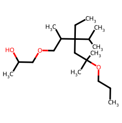 CCCOC(C)(C)CC(CC)(C(C)C)C(C)COCC(C)O